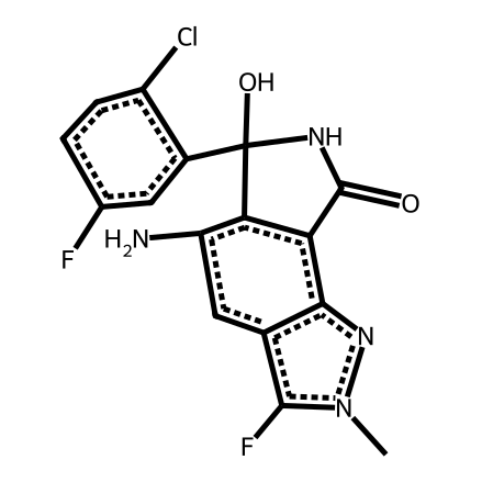 Cn1nc2c3c(c(N)cc2c1F)C(O)(c1cc(F)ccc1Cl)NC3=O